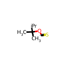 CC(C)C(C)(C)O[C]=S